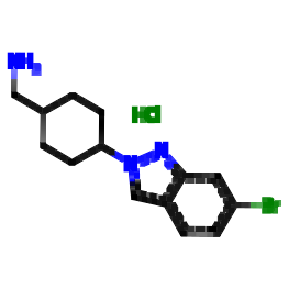 Cl.NCC1CCC(n2cc3ccc(Br)cc3n2)CC1